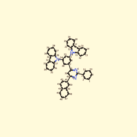 c1ccc(-c2nc(-c3cc(-n4c5ccccc5c5ccccc54)cc(-n4c5ccccc5c5ccccc54)c3)cc(-c3ccc4ccccc4c3)n2)cc1